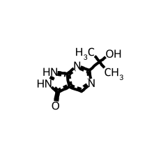 CC(C)(O)c1ncc2c(=O)[nH][nH]c2n1